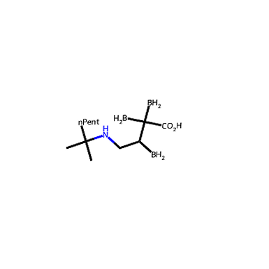 BC(CNC(C)(C)CCCCC)C(B)(B)C(=O)O